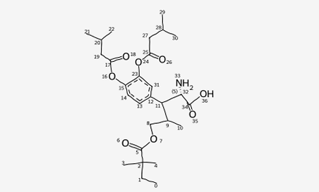 CCC(C)(C)C(=O)OCC(C)C(c1ccc(OC(=O)CC(C)C)c(OC(=O)CC(C)C)c1)[C@H](N)C(=O)O